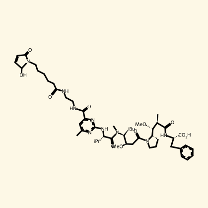 CC[C@H](C)[C@@H]([C@@H](CC(=O)N1CCC[C@H]1[C@H](OC)[C@@H](C)C(=O)N[C@@H](Cc1ccccc1)C(=O)O)OC)N(C)C(=O)[C@@H](Nc1nc(C)cc(C(=O)NCCNC(=O)CCCCCN2C(=O)C=CC2O)n1)C(C)C